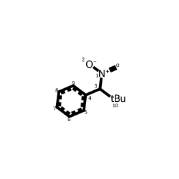 C=[N+]([O-])C(c1ccccc1)C(C)(C)C